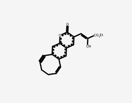 CCOC(=O)C(C#N)=Cc1cc2cc3c(cc2oc1=O)C#CCC/C=C\3